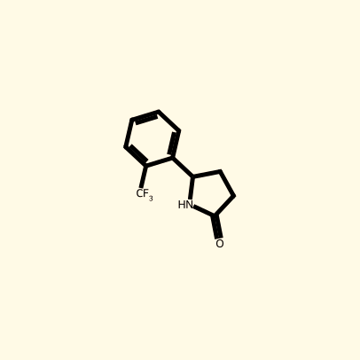 O=C1CCC(c2ccccc2C(F)(F)F)N1